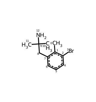 Cc1c(Br)cccc1CC(C)(C)N